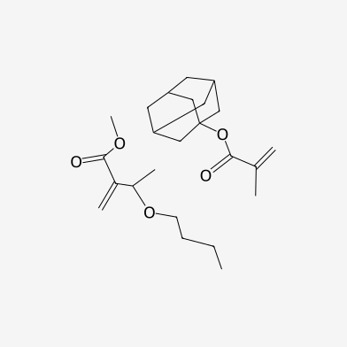 C=C(C(=O)OC)C(C)OCCCC.C=C(C)C(=O)OC12CC3CC(CC(C3)C1)C2